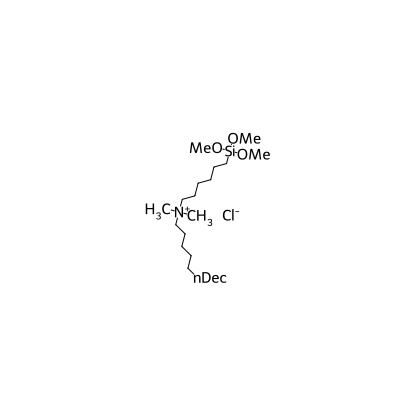 CCCCCCCCCCCCCCC[N+](C)(C)CCCCCC[Si](OC)(OC)OC.[Cl-]